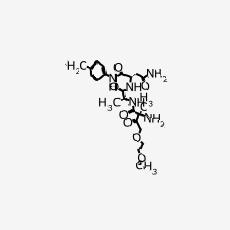 [CH2]c1ccc(NC(=O)[C@H](CC(N)=O)NC(=O)[C@H](C)NC(=O)[C@](C)(N)C(=O)COCCOC)cc1